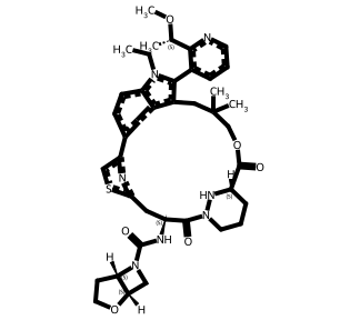 CCn1c(-c2cccnc2[C@H](C)OC)c2c3cc(ccc31)-c1csc(n1)C[C@H](NC(=O)N1C[C@@H]3OCC[C@@H]31)C(=O)N1CCC[C@H](N1)C(=O)OCC(C)(C)C2